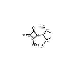 CCC[C@H]1[C@@H](O)C(=O)N1N1[C@H](C)CC[C@H]1C